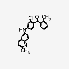 Cc1ccc2cc(Nc3ccc(C(=O)c4ccccc4C)c(Cl)c3)ccc2n1